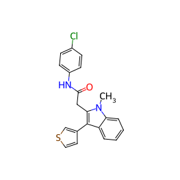 Cn1c(CC(=O)Nc2ccc(Cl)cc2)c(-c2ccsc2)c2ccccc21